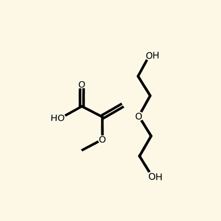 C=C(OC)C(=O)O.OCCOCCO